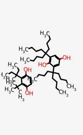 CCC(C)(CC)c1c(O)ccc(O)c1C(C)(C)C.CCCCC(CCCC)(CCCC)c1cc(O)cc(C(CCCC)(CCCC)CCCC)c1O